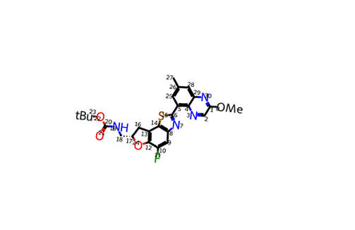 COc1cnc2c(-c3nc4cc(F)c5c(c4s3)C[C@@H](CNC(=O)OC(C)(C)C)O5)cc(C)cc2n1